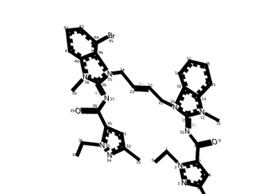 CCn1nc(C)cc1C(=O)/N=c1\n(C)c2ccccc2n1C/C=C/Cn1/c(=N/C(=O)c2cc(C)nn2CC)n(C)c2cccc(Br)c21